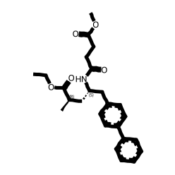 CCOC(=O)[C@H](C)C[C@@H](Cc1ccc(-c2ccccc2)cc1)NC(=O)CCC(=O)OC